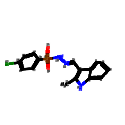 Cc1[nH]c2ccccc2c1C=NNS(=O)(=O)c1ccc(Br)cc1